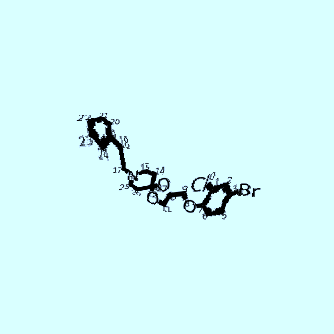 Clc1cc(Br)ccc1OCC1COC2(CCN(CCc3ccccc3)CC2)O1